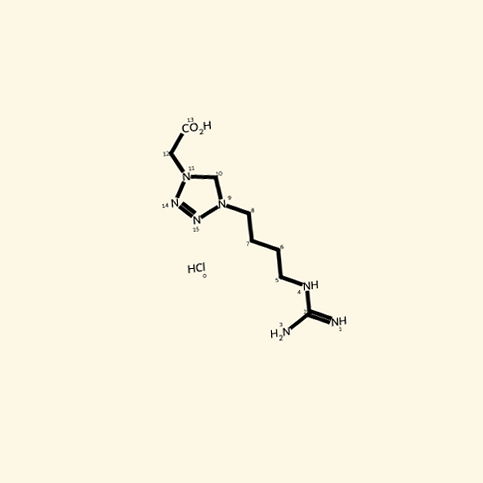 Cl.N=C(N)NCCCCN1CN(CC(=O)O)N=N1